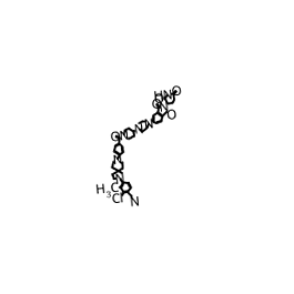 Cc1c(N2CCC3(CCN(c4ccc(C(=O)N5CCC(N6CCN(c7ccc8c(c7)C(=O)N(C7CCC(=O)NC7=O)C8=O)CC6)CC5)cc4)CC3)C2)ccc(C#N)c1Cl